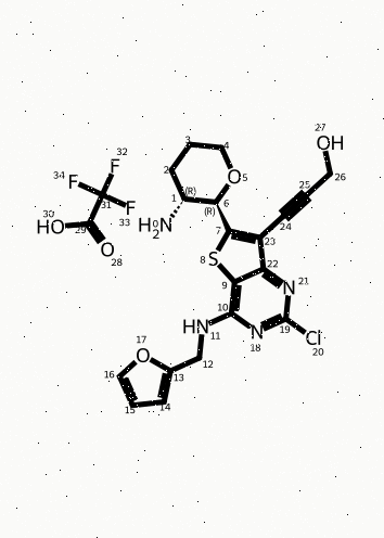 N[C@@H]1CCCO[C@H]1c1sc2c(NCc3ccco3)nc(Cl)nc2c1C#CCO.O=C(O)C(F)(F)F